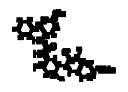 CSc1ncc2cc(-c3cc(NC(=O)Nc4cnc(C(C)(C)C)nc4-c4ccccc4)c(F)cc3C)c(=O)n(C)c2n1